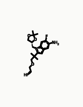 CC1(C)OC[C@@H](Cn2c(C(C)(C)COCC=P)cc3cc(N)c(F)cc32)O1